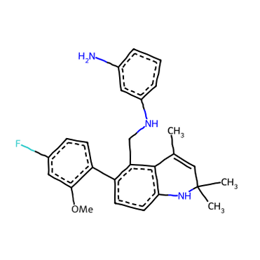 COc1cc(F)ccc1-c1ccc2c(c1CNc1cccc(N)c1)C(C)=CC(C)(C)N2